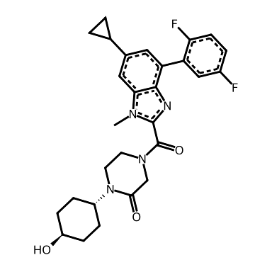 Cn1c(C(=O)N2CCN([C@H]3CC[C@H](O)CC3)C(=O)C2)nc2c(-c3cc(F)ccc3F)cc(C3CC3)cc21